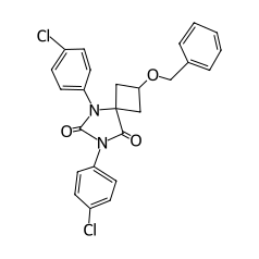 O=C1N(c2ccc(Cl)cc2)C(=O)C2(CC(OCc3ccccc3)C2)N1c1ccc(Cl)cc1